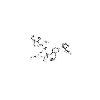 Cc1ncsc1-c1ccc(CNC(=O)[C@@H]2C[C@@H](O)CN2C(=O)[C@@H](NC(=O)C2(F)CC2)C(C)(C)C)c(CC(C)(C)C)c1